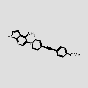 COc1ccc(C#CC2=CCN(c3cnc4[nH]ccc4c3C)CC2)cc1